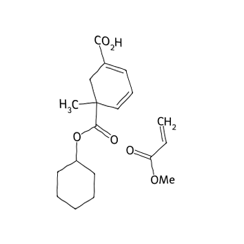 C=CC(=O)OC.CC1(C(=O)OC2CCCCC2)C=CC=C(C(=O)O)C1